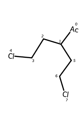 CC(=O)C(CCCl)CCCl